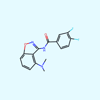 CN(C)c1cccc2onc(NC(=O)c3ccc(F)c(F)c3)c12